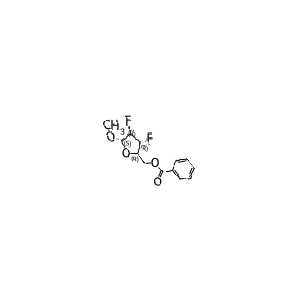 CO[C@H]1O[C@H](COC(=O)c2ccccc2)[C@@H](F)[C@@H]1F